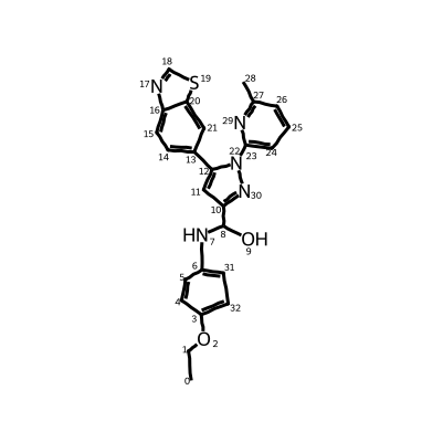 CCOc1ccc(NC(O)c2cc(-c3ccc4ncsc4c3)n(-c3cccc(C)n3)n2)cc1